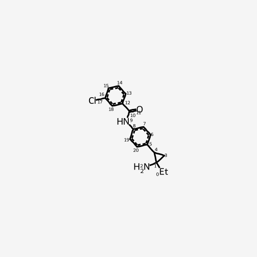 CCC1(N)CC1c1ccc(NC(=O)c2cccc(Cl)c2)cc1